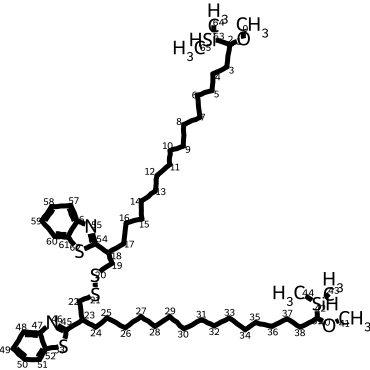 COC(CCCCCCCCCCCCCCCC(CSSCC(CCCCCCCCCCCCCCCC(OC)[SiH](C)C)c1nc2ccccc2s1)c1nc2ccccc2s1)[SiH](C)C